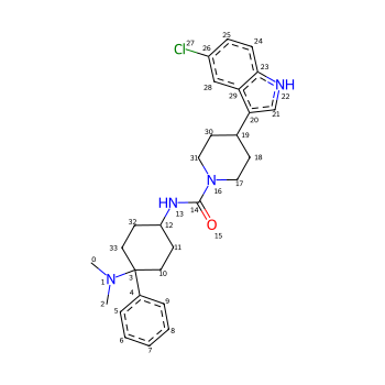 CN(C)C1(c2ccccc2)CCC(NC(=O)N2CCC(c3c[nH]c4ccc(Cl)cc34)CC2)CC1